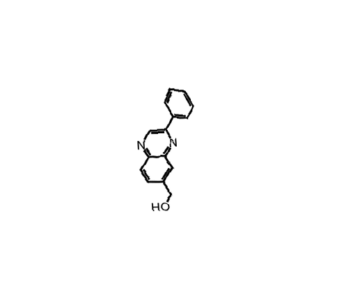 OCc1ccc2ncc(-c3ccccc3)nc2c1